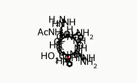 CC(=O)N[C@@H](CCCNC(=N)N)C(=O)NC1CCC(=O)NCCCC(C(=O)O)NC(=O)[C@H](Cc2c[nH]c3ccccc23)NC(=O)[C@H](CCCNC(=N)N)NC(=O)C(Cc2ccccc2)NC(=O)[C@H](CCCN)NC1=O